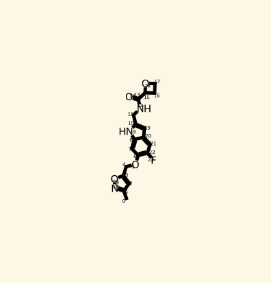 Cc1cc(COc2cc3[nH]c(CNC(=O)C4CCO4)cc3cc2F)on1